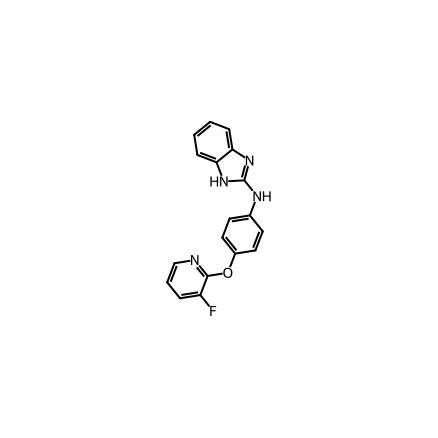 Fc1cccnc1Oc1ccc(Nc2nc3ccccc3[nH]2)cc1